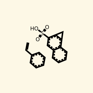 C=Cc1ccccc1.O=S(=O)(O)c1cc2ccccc2c2c1C2